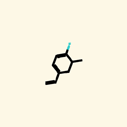 C=CC1=CC=C(F)C(C)C1